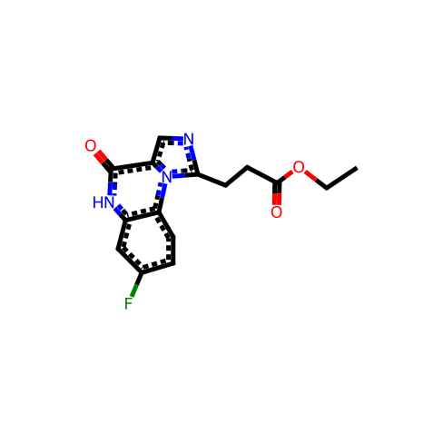 CCOC(=O)CCc1ncc2c(=O)[nH]c3cc(F)ccc3n12